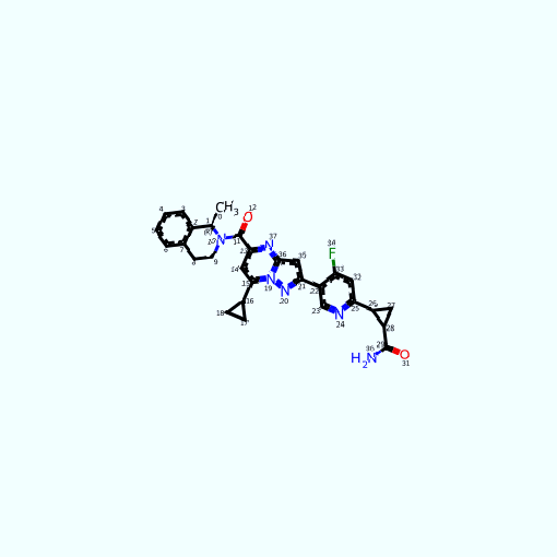 C[C@@H]1c2ccccc2CCN1C(=O)c1cc(C2CC2)n2nc(-c3cnc(C4CC4C(N)=O)cc3F)cc2n1